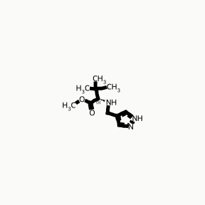 COC(=O)[C@@H](NCc1cn[nH]c1)C(C)(C)C